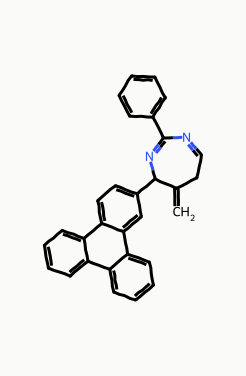 C=C1CC=NC(c2ccccc2)=NC1c1ccc2c3ccccc3c3ccccc3c2c1